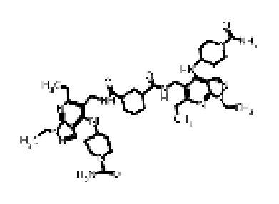 CCc1nc2c(cnn2CC)c(NC2CCN(C(N)=O)CC2)c1CNC(=O)C1CCCC(C(=O)NCc2c(CC)nc3c(cnn3CC)c2NC2CCN(C(N)=O)CC2)C1